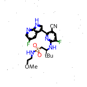 COCCNS(=O)(=O)C[C@@H](Nc1nc(-c2c[nH]c3ncc(F)cc23)c(C#N)cc1F)C(C)(C)C